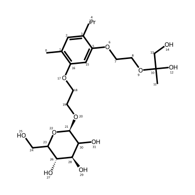 Cc1cc(C(C)C)c(OCCOC(C)(O)CO)cc1OCCO[C@@H]1OC(CO)[C@@H](O)[C@H](O)C1O